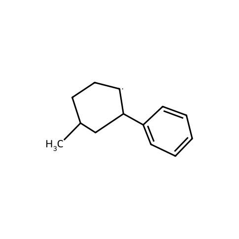 CC1CC[CH]C(c2ccccc2)C1